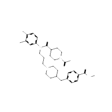 COC(=O)c1ccc(CC2CCN(CCCN(C(=O)C3CCN(C(C)=O)CC3)c3ccc(Cl)c(Cl)c3)CC2)cc1